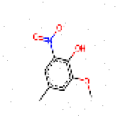 COc1cc(C)cc([N+](=O)[O-])c1O